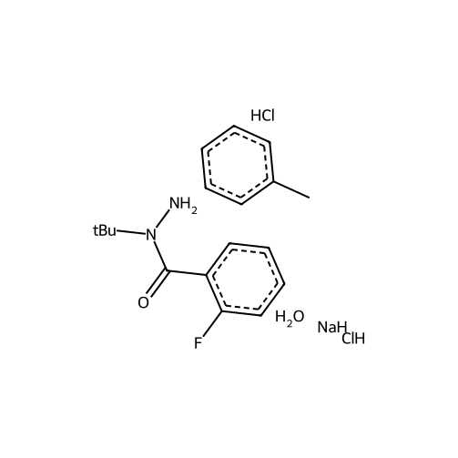 CC(C)(C)N(N)C(=O)c1ccccc1F.Cc1ccccc1.Cl.Cl.O.[NaH]